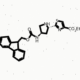 CCOC(=O)c1csc([C@@H]2C[C@@H](NC(=O)OCC3c4ccccc4-c4ccccc43)CN2)n1